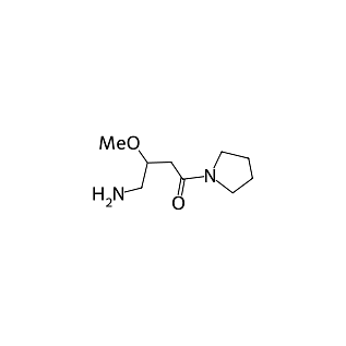 COC(CN)CC(=O)N1CCCC1